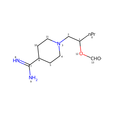 CCCC(CN1CCC(C(=N)N)CC1)O[C]=O